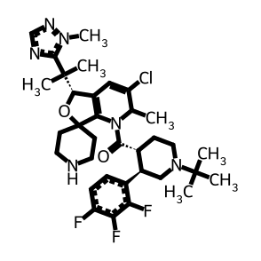 CC1C(Cl)=CC2=C(N1C(=O)[C@@H]1CCN(C(C)(C)C)C[C@H]1c1ccc(F)c(F)c1F)C1(CCNCC1)O[C@@H]2C(C)(C)c1ncnn1C